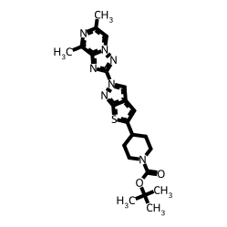 Cc1cn2nc(-n3cc4cc(C5CCN(C(=O)OC(C)(C)C)CC5)sc4n3)nc2c(C)n1